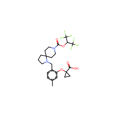 Cc1ccc(CN2CCCC23CCN(C(=O)OC(C(F)(F)F)C(F)(F)F)CC3)c(OC2(C(=O)O)CC2)c1